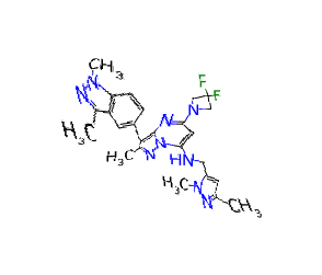 Cc1cc(CNc2cc(N3CC(F)(F)C3)nc3c(-c4ccc5c(c4)c(C)nn5C)c(C)nn23)n(C)n1